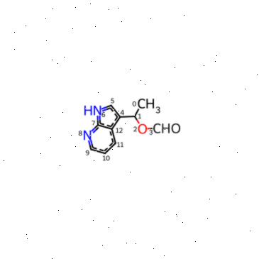 CC(OC=O)c1c[nH]c2ncccc12